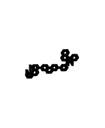 c1cc(-c2ccc3c(ccc4cc(-c5ccnc6c5ccc5cccnc56)ccc43)c2)cc(-c2nc3ccccc3c3c2ccc2ccccc23)c1